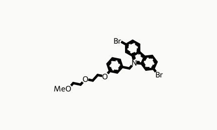 COCCOCCOc1cccc(Cn2c3cc(Br)ccc3c3ccc(Br)cc32)c1